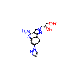 Nc1nc2cc(-n3cccn3)ccc2c2nn(C[C@@H](O)CO)cc12